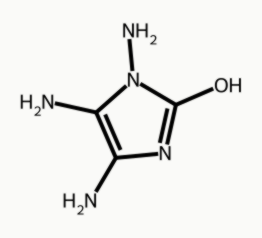 Nc1nc(O)n(N)c1N